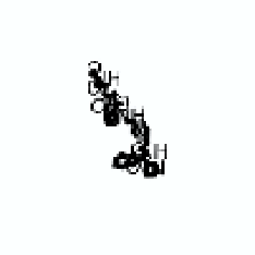 CC(CCC(=O)NC=O)N1C(=O)c2cccc(NCCN3CCN(CC(=O)NC(c4cccnc4)c4cc5ccccc5o4)CC3)c2C1=O